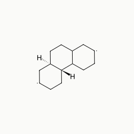 [CH]1CCC2C(C1)CC[C@@H]1C[CH]CC[C@@H]21